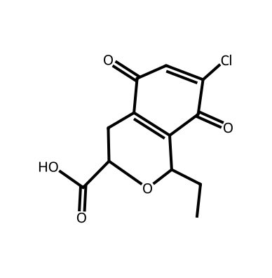 CCC1OC(C(=O)O)CC2=C1C(=O)C(Cl)=CC2=O